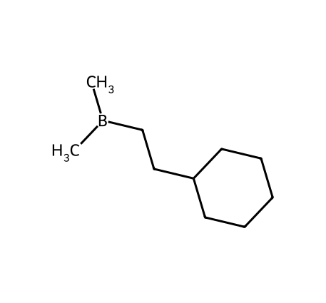 CB(C)CCC1CCCCC1